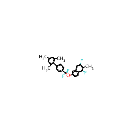 Cc1cc(C)c(-c2ccc(C(F)(F)Oc3ccc4c(F)c(C)c(F)cc4c3)cc2)c(C)c1